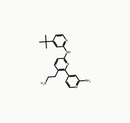 CC(C)(C)c1ccnc(Nc2ccc(CCN)c(-c3ccnc(N)c3)n2)c1